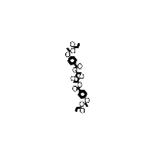 C=CC(=O)OC(C)Oc1ccc(C(=O)O[C@H]2COC3C2OC[C@@H]3OC(=O)c2ccc(OC(C)OC(=O)C=C)cc2)cc1